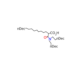 CCCCCCCCCCCCCCCCCCCC(C(=O)O)C(=O)N(CCCCCCCCCCCC)CCCCCCCCCCCC